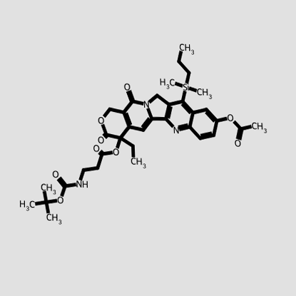 CCC[Si](C)(C)c1c2c(nc3ccc(OC(C)=O)cc13)-c1cc3c(c(=O)n1C2)COC(=O)C3(CC)OC(=O)CCNC(=O)OC(C)(C)C